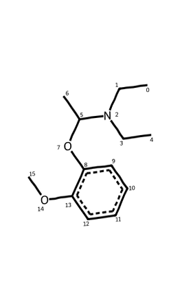 CCN(CC)C(C)Oc1ccccc1OC